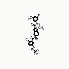 CC(C)C(=O)NCc1ccc(Cl)c(C(=O)Nc2ccc3c(c2)cc(C(=O)Nc2cc(F)cc(C(F)(F)F)c2)n3C)c1